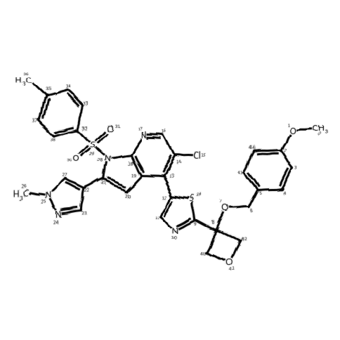 COc1ccc(COC2(c3ncc(-c4c(Cl)cnc5c4cc(-c4cnn(C)c4)n5S(=O)(=O)c4ccc(C)cc4)s3)COC2)cc1